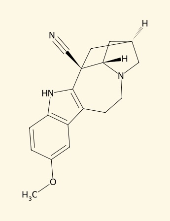 COc1ccc2[nH]c3c(c2c1)CCN1C[C@@H]2C[C@H]1[C@@]3(C#N)C2